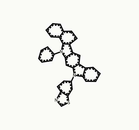 c1ccc(-n2c3cc4c(cc3c3ccc5ccccc5c32)c2ccccc2n4-c2ccc3ncsc3c2)cc1